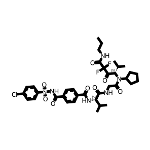 CCCNC(=O)C(F)(F)C(=O)[C@H](C(C)C)N(C(=O)CNC(=O)[C@@H](NC(=O)c1ccc(C(=O)NS(=O)(=O)c2ccc(Cl)cc2)cc1)C(C)C)C1CCCC1